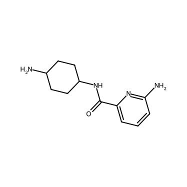 Nc1cccc(C(=O)NC2CCC(N)CC2)n1